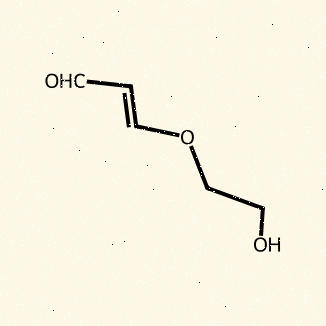 O=CC=COCCO